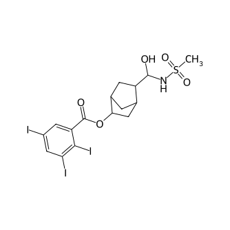 CS(=O)(=O)NC(O)C1CC2CC1CC2OC(=O)c1cc(I)cc(I)c1I